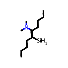 CCCCC([SiH3])=C(CCCC)N(C)C